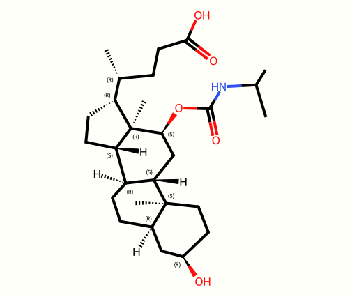 CC(C)NC(=O)O[C@H]1C[C@H]2[C@@H](CC[C@@H]3C[C@H](O)CC[C@@]32C)[C@@H]2CC[C@H]([C@H](C)CCC(=O)O)[C@@]12C